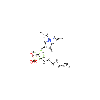 C=CC[N+](CC=C)(CC=C)CC=C.O=S(=O)([O-])C(F)(F)C(F)(F)CCCCCC(F)(F)F